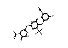 CC(=O)c1cc(Cc2nc(C(F)(F)F)c(Oc3cc(Cl)cc(C#N)c3)c(=O)[nH]2)n[nH]c1=O